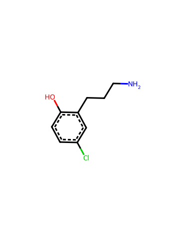 NCCCc1cc(Cl)ccc1O